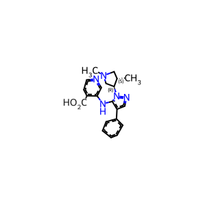 C[C@H]1CN(C)C[C@@H]1n1ncc(-c2ccccc2)c1Nc1cnccc1C(=O)O